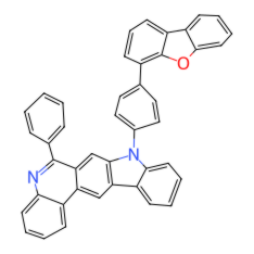 c1ccc(-c2nc3ccccc3c3cc4c5ccccc5n(-c5ccc(-c6cccc7c6oc6ccccc67)cc5)c4cc23)cc1